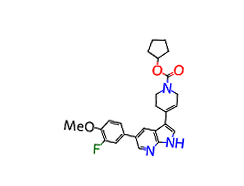 COc1ccc(-c2cnc3[nH]cc(C4=CCN(C(=O)OC5CCCC5)CC4)c3c2)cc1F